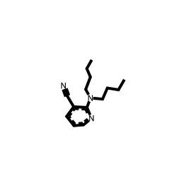 CCCCN(CCCC)c1ncccc1C#N